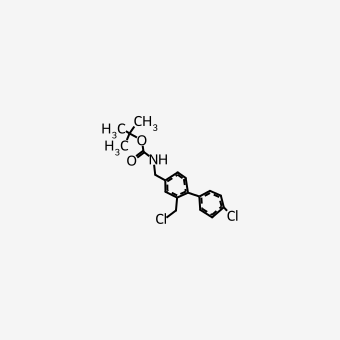 CC(C)(C)OC(=O)NCc1ccc(-c2ccc(Cl)cc2)c(CCl)c1